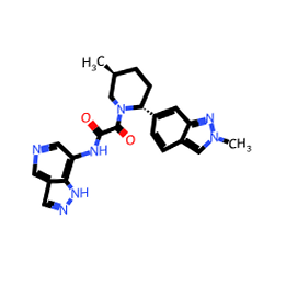 C[C@H]1CC[C@H](c2ccc3cn(C)nc3c2)N(C(=O)C(=O)Nc2cncc3cn[nH]c23)C1